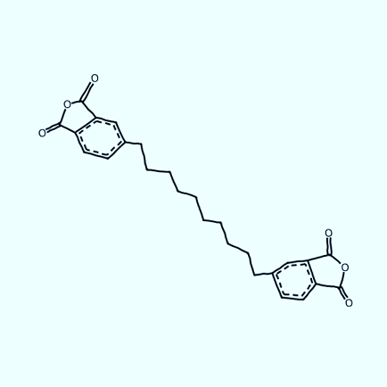 O=C1OC(=O)c2cc(CCCCCCCCCCc3ccc4c(c3)C(=O)OC4=O)ccc21